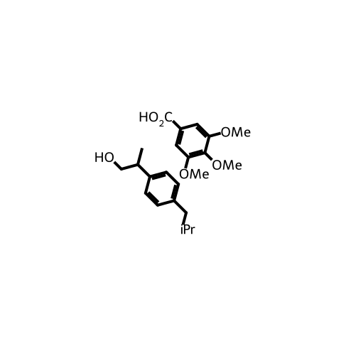 CC(C)Cc1ccc(C(C)CO)cc1.COc1cc(C(=O)O)cc(OC)c1OC